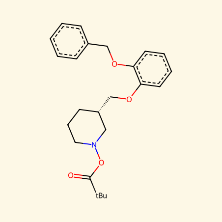 CC(C)(C)C(=O)ON1CCC[C@H](COc2ccccc2OCc2ccccc2)C1